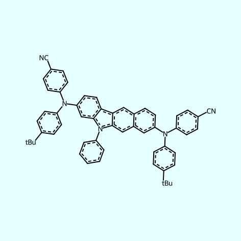 CC(C)(C)c1ccc(N(c2ccc(C#N)cc2)c2ccc3cc4c5ccc(N(c6ccc(C#N)cc6)c6ccc(C(C)(C)C)cc6)cc5n(-c5ccccc5)c4cc3c2)cc1